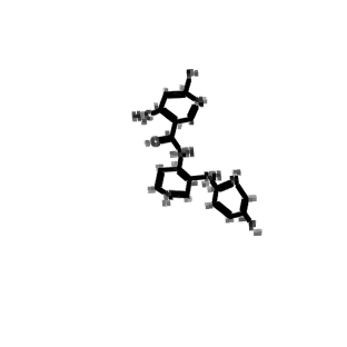 Cc1cc(F)ncc1C(=O)Nc1ccncc1Nc1ccc(F)cn1